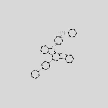 c1ccc(Nc2ccc(-n3c4ccccc4c4c(-c5ccc(-c6ccccc6)cc5)cc5c6ccccc6oc5c43)cc2)cc1